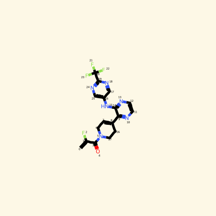 C=C(F)C(=O)N1CC=C(c2nccnc2Nc2cnc(C(F)(F)F)nc2)CC1